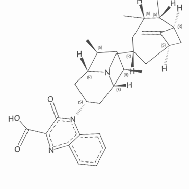 C=C1[C@@H]2C[C@H](CN3[C@@H]4C[C@@H](n5c(=O)c(C(=O)O)nc6ccccc65)C[C@H]3[C@H](C)C[C@@H]4C)C[C@H](C)[C@H](C)[C@H]1C2